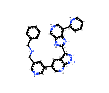 c1ccc(CNCc2cncc(-c3cnc4[nH]nc(-c5nc6c(-c7ccccn7)cncc6[nH]5)c4c3)c2)cc1